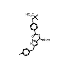 CCCCCCC(OC(=O)c1ccc(SC(C)(C)C(=O)O)cc1)c1cn(Cc2ccc(C)cc2)nn1